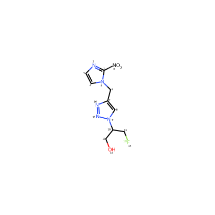 O=[N+]([O-])c1nccn1Cc1cn(C(CO)C[18F])nn1